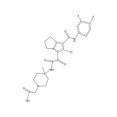 CC1(NC(=O)C(=O)c2c(Cl)c(C(=O)Nc3ccc(F)c(F)c3)c3n2CCC3)CCN(CC(=O)O)CC1